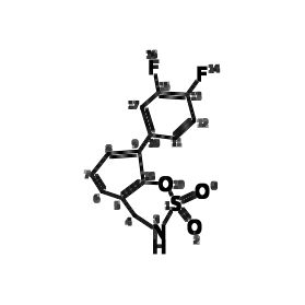 O=S1(=O)NCc2cccc(-c3ccc(F)c(F)c3)c2O1